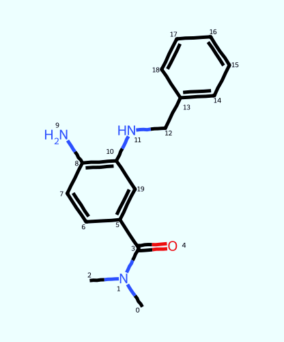 CN(C)C(=O)c1ccc(N)c(NCc2ccccc2)c1